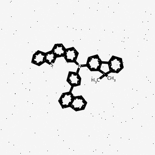 CC1(C)c2ccccc2-c2ccc(N(c3ccc(-c4cccc5ccccc45)cc3)c3ccc4ccc5c6ccccc6sc5c4c3)cc21